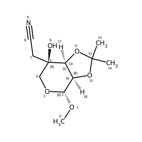 CO[C@@H]1OC[C@](O)(CC#N)[C@H]2OC(C)(C)O[C@@H]12